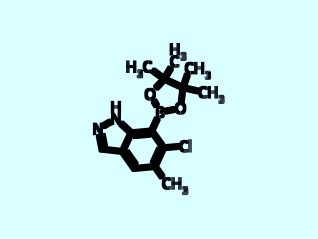 Cc1cc2cn[nH]c2c(B2OC(C)(C)C(C)(C)O2)c1Cl